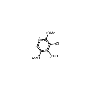 COc1cnc(OC)c(Cl)c1C=O